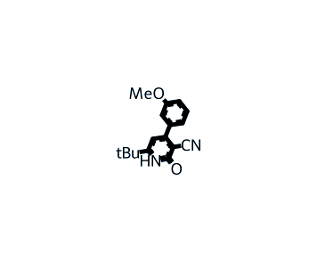 COc1cccc(-c2cc(C(C)(C)C)[nH]c(=O)c2C#N)c1